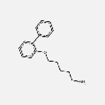 NCCCCCOc1ccccc1-c1ccccc1